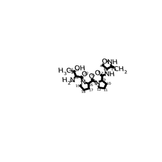 C=C1NOC[C@H]1NC(=O)C1CCCN1C(=O)C1CCCN1C(=O)[C@@H](N)[C@@H](C)O